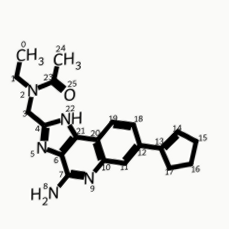 CCN(Cc1nc2c(N)nc3cc(C4=CCCC4)ccc3c2[nH]1)C(C)=O